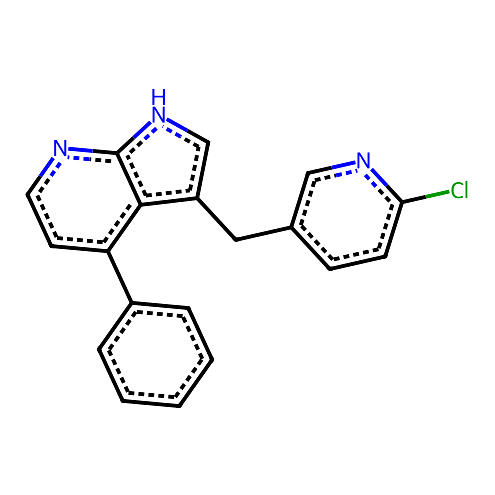 Clc1ccc(Cc2c[nH]c3nccc(-c4ccccc4)c23)cn1